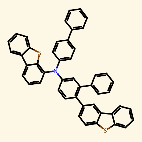 c1ccc(-c2ccc(N(c3ccc(-c4ccc5sc6ccccc6c5c4)c(-c4ccccc4)c3)c3cccc4c3sc3ccccc34)cc2)cc1